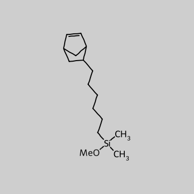 CO[Si](C)(C)CCCCCCC1CC2C=CC1C2